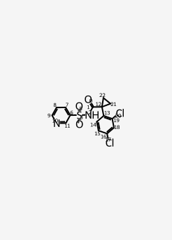 O=C(NS(=O)(=O)c1cccnc1)C1(c2ccc(Cl)cc2Cl)CC1